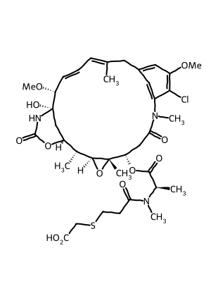 COc1cc2cc(c1Cl)N(C)C(=O)C[C@H](OC(=O)[C@@H](C)N(C)C(=O)CCSCC(=O)O)[C@]1(C)O[C@H]1[C@H](C)[C@@H]1C[C@@](O)(NC(=O)O1)[C@H](OC)/C=C/C=C(\C)C2